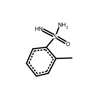 Cc1ccccc1S(=N)(N)=O